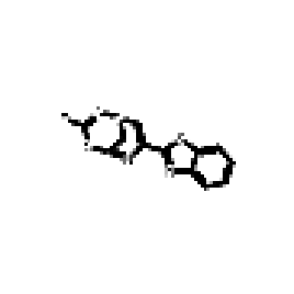 FC1=NN2C=C(c3nc4ccccc4s3)N=C(C2)S1